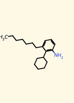 CCCCCCCc1cccc(N)c1C1CCCCC1